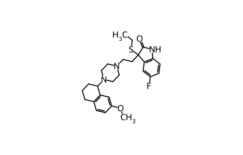 CCSC1(CCN2CCN(C3CCCc4ccc(OC)cc43)CC2)C(=O)Nc2ccc(F)cc21